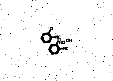 Cl.Cl.[C-]#[N+]c1ccccc1Cl.[C-]#[N+]c1ccccc1Cl